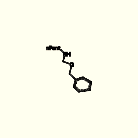 CCCCCNCOCc1ccccc1